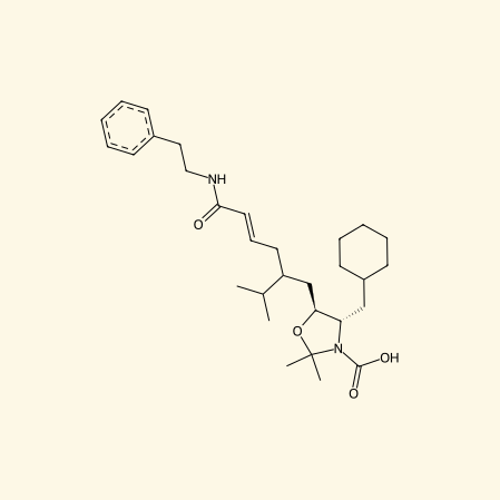 CC(C)C(CC=CC(=O)NCCc1ccccc1)C[C@@H]1OC(C)(C)N(C(=O)O)[C@H]1CC1CCCCC1